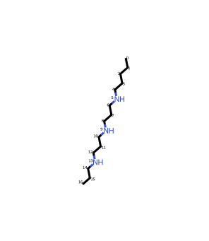 CCCCCNCCCNCCCNCCC